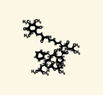 CC1=C(C)C(=O)C(CCC(=O)NCCCC[C@H](NC(=O)[C@@H]2CCCN2C(=O)[C@H](/C=C/[C@H](CC(C)C)NC(=O)OC(C)(C)C)Cc2ccccc2)C(=O)NC(C)C)=C(C)C1=O